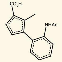 CC(=O)Nc1ccccc1-c1csc(C(=O)O)c1C